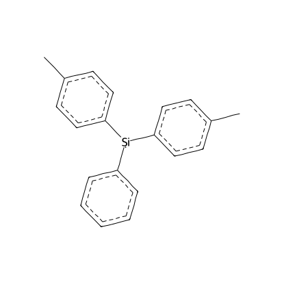 Cc1ccc([Si](c2ccccc2)c2ccc(C)cc2)cc1